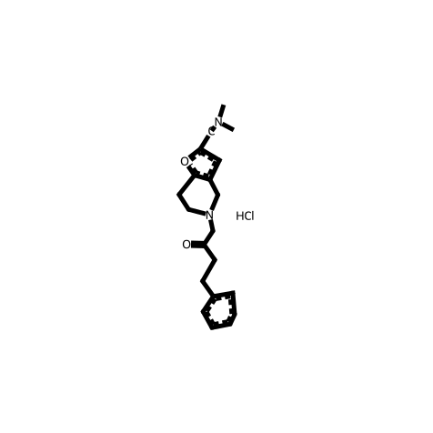 CN(C)Cc1cc2c(o1)CCN(CC(=O)CCc1ccccc1)C2.Cl